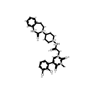 Cn1c(=O)c(-c2cccc(Cl)c2Cl)cn(CC(=O)NN2CCC(N3CCc4ccccc4NC3=O)CC2)c1=O